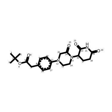 CC(C)(C)OC(=O)Cc1ccc(N2CCN(C3CCC(=O)NC3=O)C(=O)C2)cc1